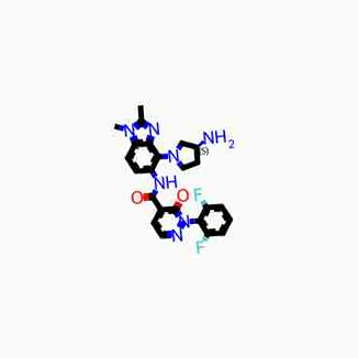 Cc1nc2c(N3CC[C@H](N)C3)c(NC(=O)c3ccnn(-c4c(F)cccc4F)c3=O)ccc2n1C